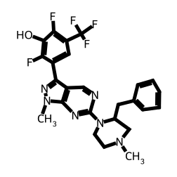 CN1CCN(c2ncc3c(-c4cc(C(F)(F)F)c(F)c(O)c4F)nn(C)c3n2)C(Cc2ccccc2)C1